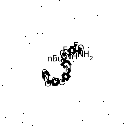 CCCCN(C(=O)Nc1cc(C(N)=O)c(F)cc1F)C1CCN(Cc2ccc(Oc3ccc(C(=O)N4CCOCC4)cc3)cc2)CC1